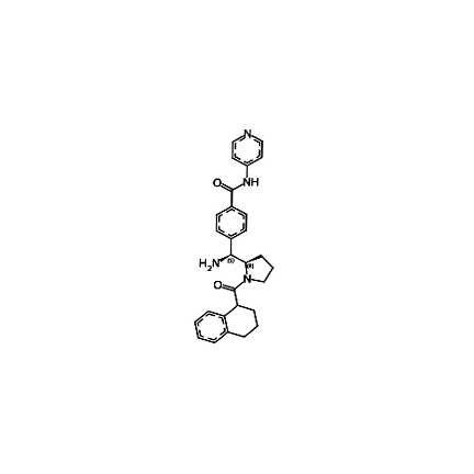 N[C@@H](c1ccc(C(=O)Nc2ccncc2)cc1)[C@H]1CCCN1C(=O)C1CCCc2ccccc21